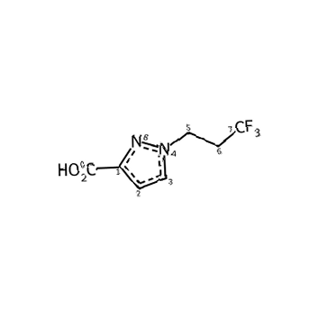 O=C(O)c1ccn(CCC(F)(F)F)n1